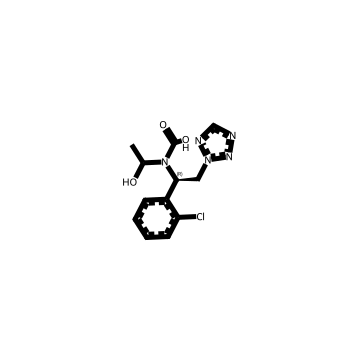 CC(O)N(C(=O)O)[C@@H](Cn1ncnn1)c1ccccc1Cl